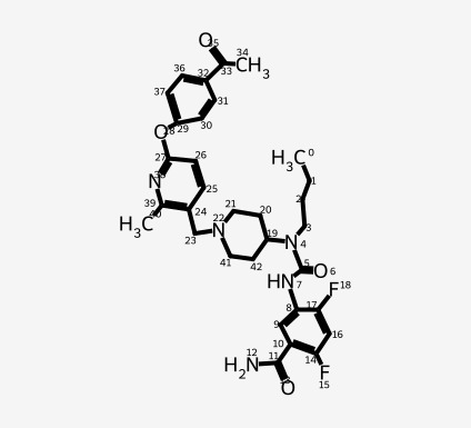 CCCCN(C(=O)Nc1cc(C(N)=O)c(F)cc1F)C1CCN(Cc2ccc(Oc3ccc(C(C)=O)cc3)nc2C)CC1